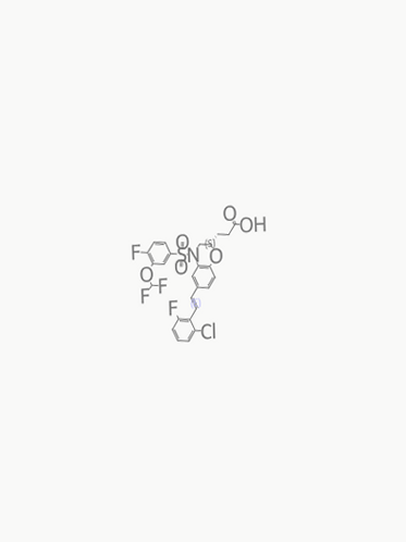 O=C(O)CC[C@H]1CN(S(=O)(=O)c2ccc(F)c(OC(F)F)c2)c2cc(/C=C/c3c(F)cccc3Cl)ccc2O1